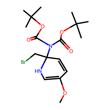 COC1=CNC(CBr)(N(C(=O)OC(C)(C)C)C(=O)OC(C)(C)C)C=C1